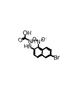 O=C(O)NNc1ccc2cc(Br)ccc2c1[N+](=O)[O-]